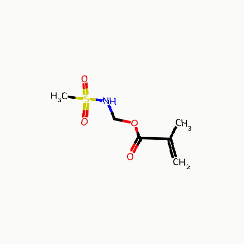 C=C(C)C(=O)OCNS(C)(=O)=O